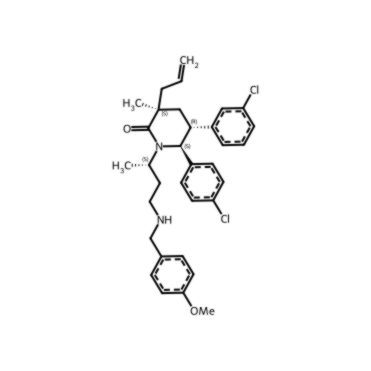 C=CC[C@@]1(C)C[C@H](c2cccc(Cl)c2)[C@@H](c2ccc(Cl)cc2)N([C@@H](C)CCNCc2ccc(OC)cc2)C1=O